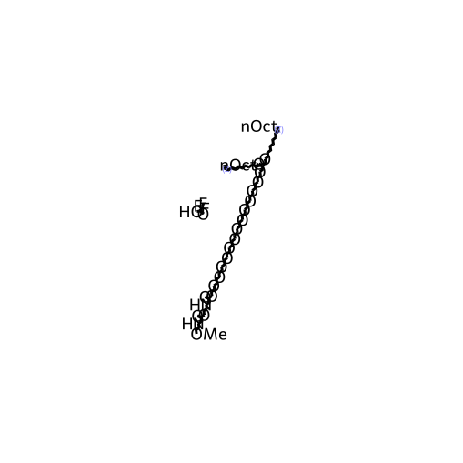 CCCCCCCC/C=C\CCCCCCCCOCC(COCCOCCOCCOCCOCCOCCOCCOCCOCCOCCOCCOCCOCCOC(=O)CNCCOC(=O)CNCCOC)OCCCCCCCC/C=C\CCCCCCCC.O=C(O)C(F)(F)F